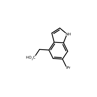 CC(C)c1cc(CC(=O)O)c2cc[nH]c2c1